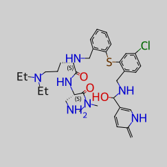 C=C1C=CC(C(O)NCc2ccc(Cl)cc2Sc2ccccc2CN[C@@H](CCCN(CC)CC)C(=O)N[C@@H](CN)C(=O)N(C)C)=CN1